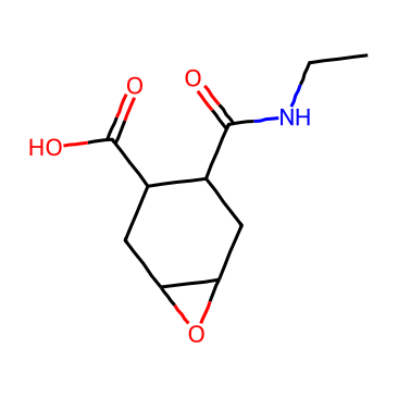 CCNC(=O)C1CC2OC2CC1C(=O)O